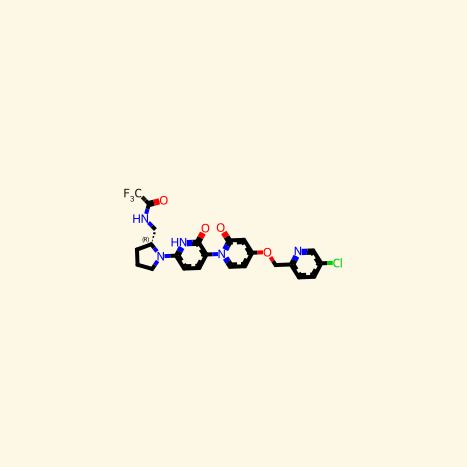 O=C(NC[C@H]1CCCN1c1ccc(-n2ccc(OCc3ccc(Cl)cn3)cc2=O)c(=O)[nH]1)C(F)(F)F